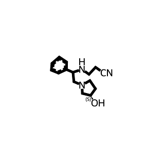 N#CCCNC(CN1CC[C@H](O)C1)c1ccccc1